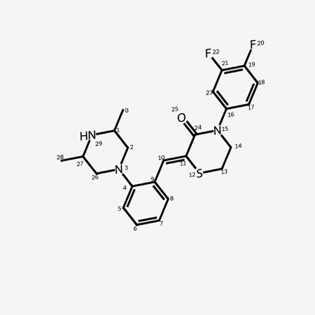 CC1CN(c2ccccc2C=C2SCCN(c3ccc(F)c(F)c3)C2=O)CC(C)N1